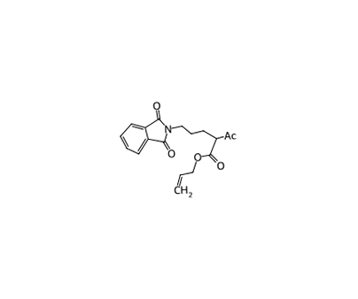 C=CCOC(=O)C(CCCN1C(=O)c2ccccc2C1=O)C(C)=O